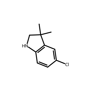 CC1(C)CNc2ccc(Cl)cc21